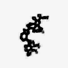 COc1c(-c2cc3c(s2)CCCC3NC(=O)[C@H](N)C(C)C(=O)O)ccc2c(=O)c(C(=O)O)cn(C3CC3)c12